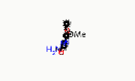 COc1cc(-c2cn3cc(C(N)=O)ccc3n2)ccc1OCc1ccccc1